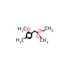 CCOC(Cc1ccc(C)cc1OC)OCC